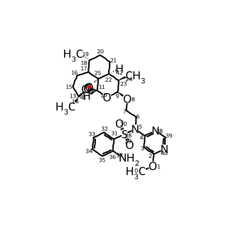 COc1cc(N(CCO[C@H]2O[C@@H]3O[C@@]4(C)CCC5[C@H](C)CC[C@@H]([C@H]2C)[C@]53OO4)S(=O)(=O)c2ccccc2N)ncn1